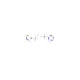 CC(C)(CCC(C)(C)n1cccn1)c1nccs1